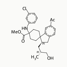 COC(=O)C1(Nc2cccc(Cl)c2)CCC2(CC1)c1cc(C(C)=O)ccc1C[C@H]2C[C@@H](C)CO